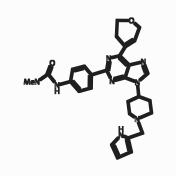 CNC(=O)Nc1ccc(-c2nc(C3=CCOCC3)c3ncn(C4CCN(Cc5ccc[nH]5)CC4)c3n2)cc1